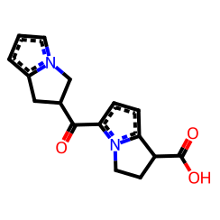 O=C(c1ccc2n1CCC2C(=O)O)C1Cc2cccn2C1